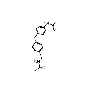 CC(=O)NCc1ccc(Cc2ccc(NC(C)=O)cc2)cc1